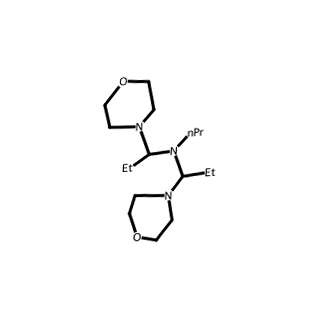 CCCN(C(CC)N1CCOCC1)C(CC)N1CCOCC1